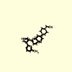 Cc1cccc(-c2n[nH]cc2-c2ccc3ncc(N4CCN(CC#N)CC4)cc3n2)n1